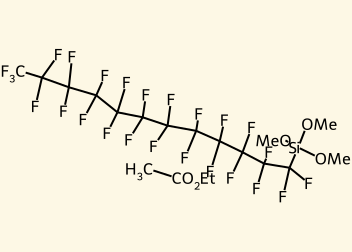 CCOC(C)=O.CO[Si](OC)(OC)C(F)(F)C(F)(F)C(F)(F)C(F)(F)C(F)(F)C(F)(F)C(F)(F)C(F)(F)C(F)(F)C(F)(F)C(F)(F)C(F)(F)F